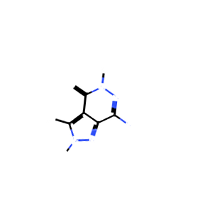 C=C1c2c(nn(C)c2C)C(N)=NN1C